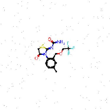 Cc1ccc(N2C(=O)CSC2=NC(N)=O)c(COCC(F)(F)F)c1